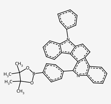 CC1(C)OB(c2ccc(-c3nc4ccccc4c4ccc5c(c6ccccc6n5-c5ccccc5)c34)cc2)OC1(C)C